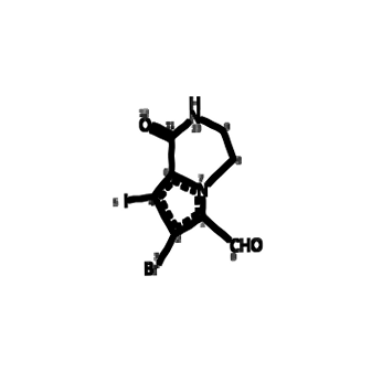 O=Cc1c(Br)c(I)c2n1CCNC2=O